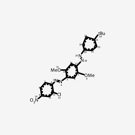 COc1cc(N=Nc2ccc([N+](=O)[O-])cc2Cl)c(OC)cc1N=Nc1ccc(C(C)(C)C)cc1